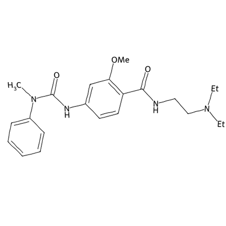 CCN(CC)CCNC(=O)c1ccc(NC(=O)N(C)c2ccccc2)cc1OC